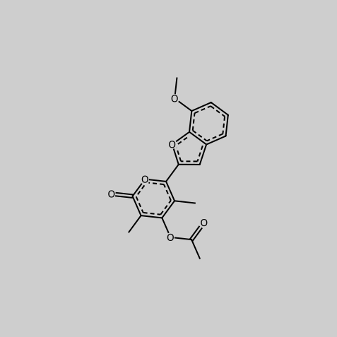 COc1cccc2cc(-c3oc(=O)c(C)c(OC(C)=O)c3C)oc12